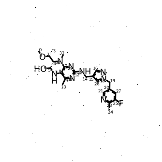 CO[C@H](C)[C@H]1C(O)Nc2c(C)nc(NCc3cnn(Cc4cnc(C)c(F)c4)c3)nc2N1C